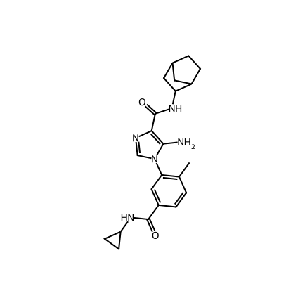 Cc1ccc(C(=O)NC2CC2)cc1-n1cnc(C(=O)NC2CC3CCC2C3)c1N